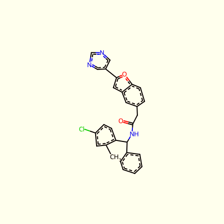 Cc1cc(Cl)ccc1C(NC(=O)Cc1ccc2oc(-c3cncnc3)cc2c1)c1ccccc1